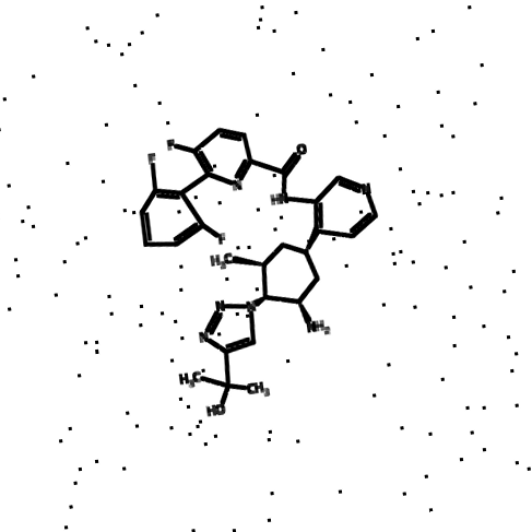 C[C@H]1C[C@@H](c2ccncc2NC(=O)c2ccc(F)c(-c3c(F)cccc3F)n2)C[C@@H](N)[C@H]1n1cc(C(C)(C)O)nn1